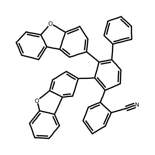 N#Cc1ccccc1-c1ccc(-c2ccccc2)c(-c2ccc3oc4ccccc4c3c2)c1-c1ccc2oc3ccccc3c2c1